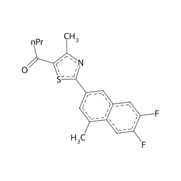 CCCC(=O)c1sc(-c2cc(C)c3cc(F)c(F)cc3c2)nc1C